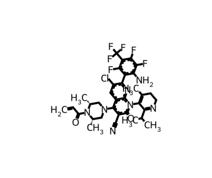 C=CC(=O)N1[C@H](C)CN(c2c(C#N)c(=O)n(C3=C(C)CCN=C3C(C)C)c3nc(-c4c(N)c(F)c(F)c(C(F)(F)F)c4F)c(Cl)cc23)C[C@@H]1C